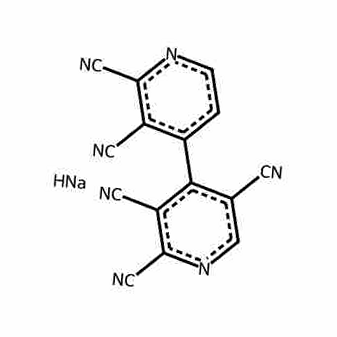 N#Cc1cnc(C#N)c(C#N)c1-c1ccnc(C#N)c1C#N.[NaH]